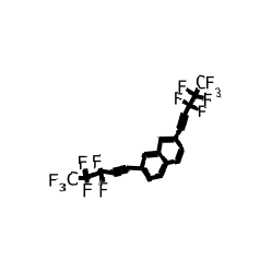 FC(F)(F)C(F)(F)C(F)(F)C#Cc1ccc2ccc(C#CC(F)(F)C(F)(F)C(F)(F)F)cc2c1